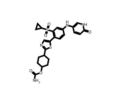 NC(=O)OC1CCC(c2ncc(-c3ccc(Nc4ccc(=O)[nH]c4)cc3S(=O)(=O)C3CC3)s2)CC1